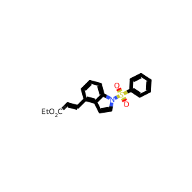 CCOC(=O)C=Cc1cccc2c1ccn2S(=O)(=O)c1ccccc1